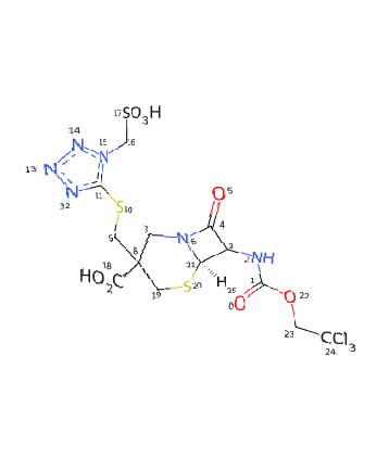 O=C(NC1C(=O)N2CC(CSc3nnnn3CS(=O)(=O)O)(C(=O)O)CS[C@H]12)OCC(Cl)(Cl)Cl